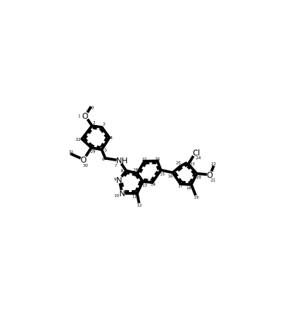 COc1ccc(CNc2nnc(C)c3cc(-c4cc(C)c(OC)c(Cl)c4)ccc23)c(OC)c1